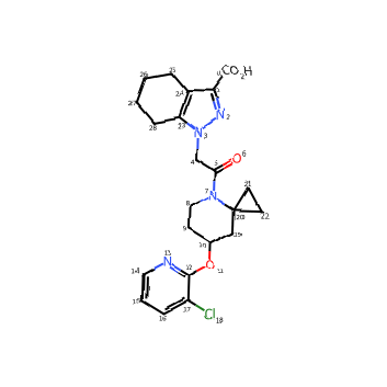 O=C(O)c1nn(CC(=O)N2CCC(Oc3ncccc3Cl)CC23CC3)c2c1CCCC2